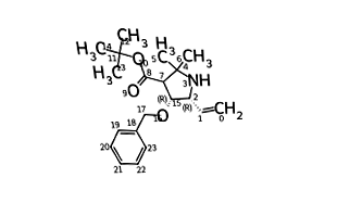 C=C[C@H]1NC(C)(C)C(C(=O)OC(C)(C)C)[C@H]1OCc1ccccc1